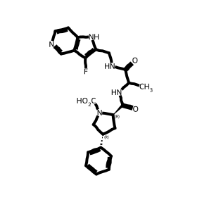 CC(NC(=O)[C@H]1C[C@H](c2ccccc2)CN1C(=O)O)C(=O)NCc1[nH]c2ccncc2c1F